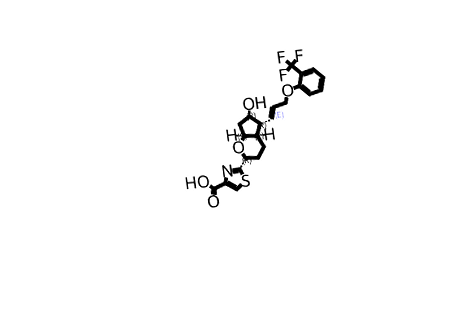 O=C(O)c1csc([C@H]2CC[C@@H]3[C@@H](/C=C/COc4ccccc4C(F)(F)F)[C@H](O)C[C@@H]3O2)n1